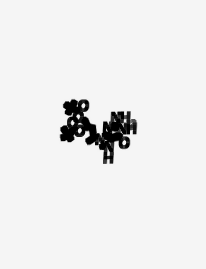 CC(CC(COC(=O)C(C)(C)C)OC(=O)C(C)(C)C)N1CNc2c1nc(N)[nH]c2=O